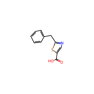 O=C(O)c1cnc(Cc2ccccc2)s1